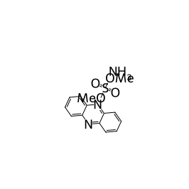 COS(=O)(=O)OC.N.c1ccc2nc3ccccc3nc2c1